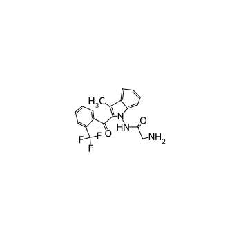 Cc1c(C(=O)c2ccccc2C(F)(F)F)n(NC(=O)CN)c2ccccc12